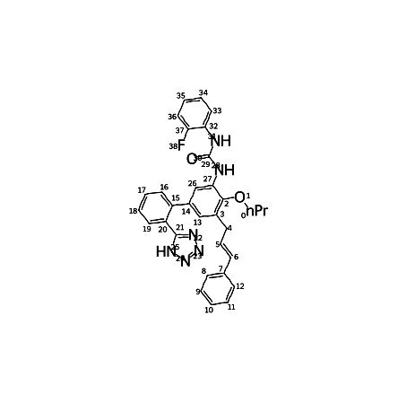 CCCOc1c(CC=Cc2ccccc2)cc(-c2ccccc2-c2nnn[nH]2)cc1NC(=O)Nc1ccccc1F